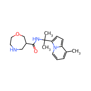 Cc1cccn2c(C(C)(C)NC(=O)C3CNCCOC3)ccc12